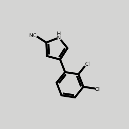 N#Cc1cc(-c2cccc(Cl)c2Cl)c[nH]1